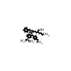 CCCCC(CO)CCCCN(Cc1ccccc1)S(=O)(=O)c1ccc(N(C)C)cc1Cc1ccc(OC)cc1